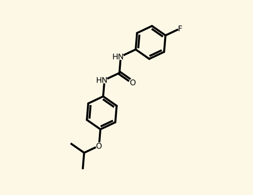 CC(C)Oc1ccc(NC(=O)Nc2ccc(F)cc2)cc1